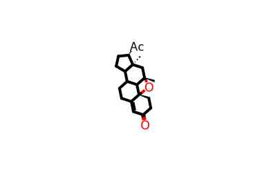 CC(=O)[C@H]1CCC2C3CCC4=CC(=O)CC[C@@]45O[C@@](C)(C[C@@]21C)C35